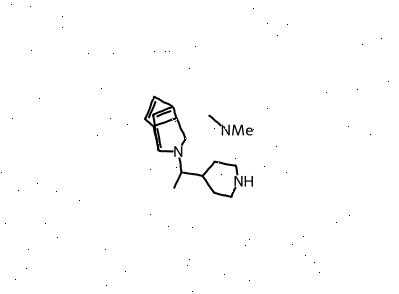 CC(C1CCNCC1)N1CC2C3=CC1=C2C=C3.CNC